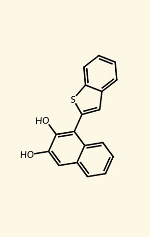 Oc1cc2ccccc2c(-c2cc3ccccc3s2)c1O